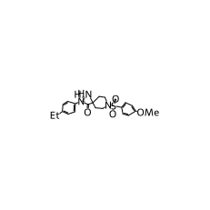 CCc1ccc(NC(=O)C2(N)CCN(S(=O)(=O)c3ccc(OC)cc3)CC2)cc1